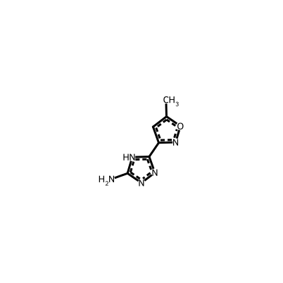 Cc1cc(-c2nnc(N)[nH]2)no1